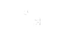 O=C(C=CCCCc1ccccc1)NC1CCCC1